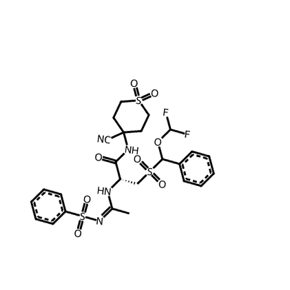 CC(=NS(=O)(=O)c1ccccc1)N[C@@H](CS(=O)(=O)C(OC(F)F)c1ccccc1)C(=O)NC1(C#N)CCS(=O)(=O)CC1